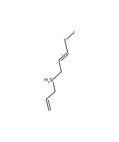 C=CC[SiH2]C/C=C/SI